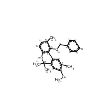 COc1cc2c(cc1C)-c1c(ccc(C)c1OCc1ccccc1)OC2(C)C